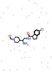 NC(CNC(=O)C1CCc2cc(Cl)ccc21)C1CCN(C=O)CC1